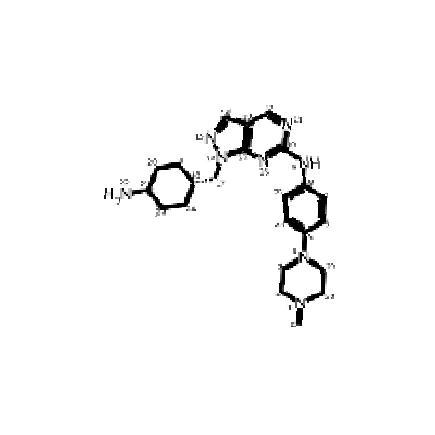 CN1CCN(c2ccc(Nc3ncc4cnn(C[C@H]5CC[C@H](N)CC5)c4n3)cc2)CC1